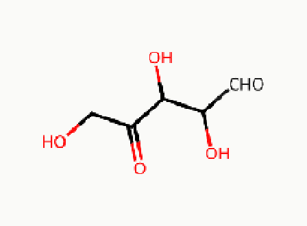 O=CC(O)C(O)C(=O)CO